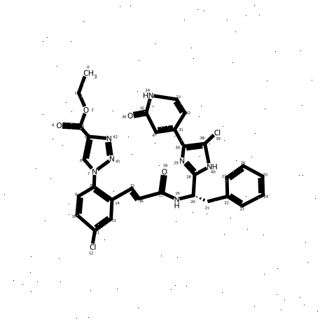 CCOC(=O)c1cn(-c2ccc(Cl)cc2/C=C/C(=O)N[C@@H](Cc2ccccc2)c2nc(-c3cc[nH]c(=O)c3)c(Cl)[nH]2)nn1